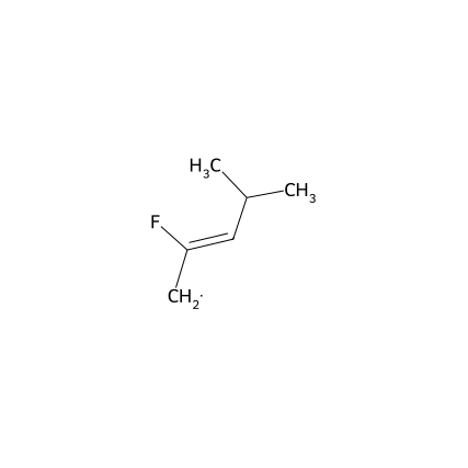 [CH2]C(F)=CC(C)C